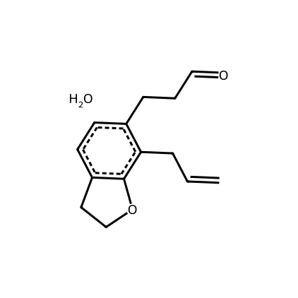 C=CCc1c(CCC=O)ccc2c1OCC2.O